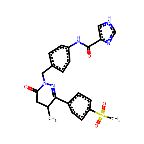 CC1CC(=O)N(Cc2ccc(NC(=O)c3c[nH]cn3)cc2)N=C1c1ccc(S(C)(=O)=O)cc1